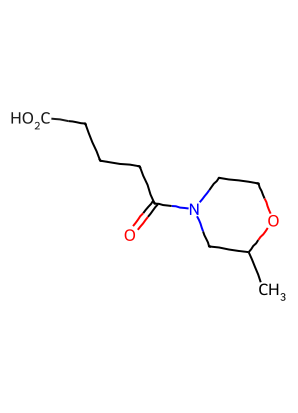 CC1CN(C(=O)CCCC(=O)O)CCO1